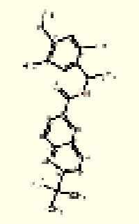 Cc1cc(C(C)NC(=O)c2ccc3nc(C(C)(C)C(F)(F)F)ccc3c2)c(F)cc1CO